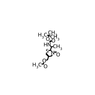 CC(=O)OCC1=CSC(C(C)NC(=O)OC(C)(C)C)N(C=O)C1